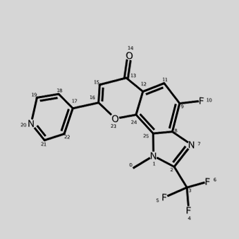 Cn1c(C(F)(F)F)nc2c(F)cc3c(=O)cc(-c4ccncc4)oc3c21